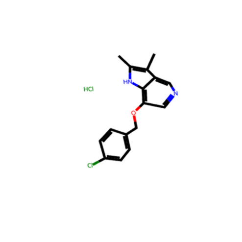 Cc1[nH]c2c(OCc3ccc(Cl)cc3)cncc2c1C.Cl